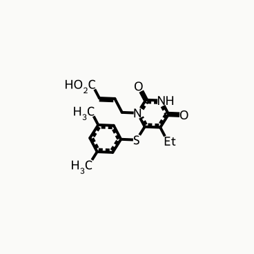 CCc1c(Sc2cc(C)cc(C)c2)n(CC=CC(=O)O)c(=O)[nH]c1=O